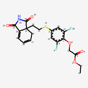 CCOC(=O)COc1c(F)cc(SCCC23CC=CC=C2C(=O)NC3=O)cc1F